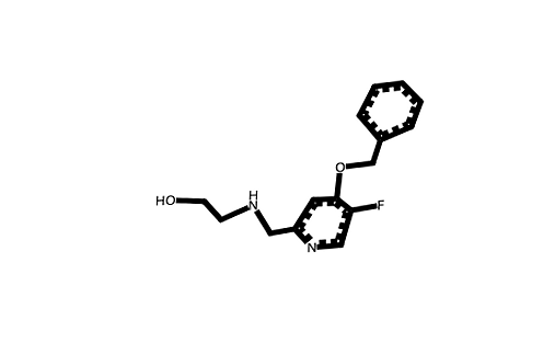 OCCNCc1cc(OCc2ccccc2)c(F)cn1